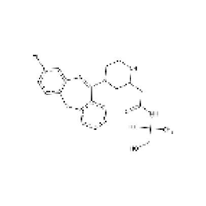 CC(C)(CO)NC(=O)CC1CN(C2=Nc3cc(Cl)ccc3Oc3ccccc32)CCN1